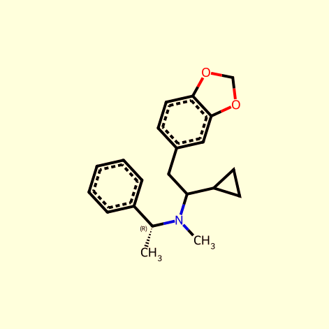 C[C@H](c1ccccc1)N(C)C(Cc1ccc2c(c1)OCO2)C1CC1